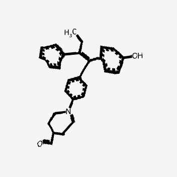 CC/C(=C(\c1ccc(O)cc1)c1ccc(N2CCC(C=O)CC2)cc1)c1ccccc1